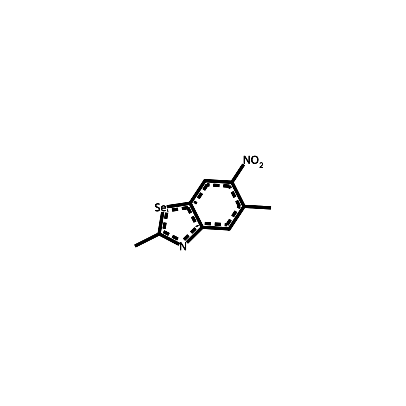 Cc1nc2cc(C)c([N+](=O)[O-])cc2[se]1